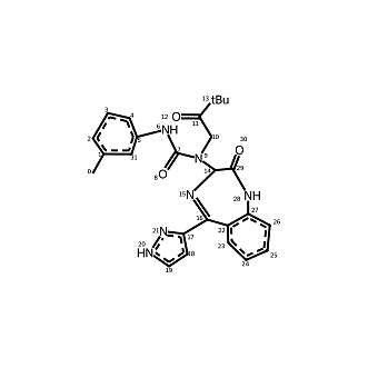 Cc1cccc(NC(=O)N(CC(=O)C(C)(C)C)C2N=C(c3cc[nH]n3)c3ccccc3NC2=O)c1